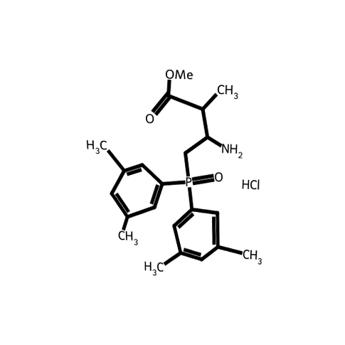 COC(=O)C(C)C(N)CP(=O)(c1cc(C)cc(C)c1)c1cc(C)cc(C)c1.Cl